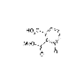 COC(=O)c1c(C(=O)O)ccc[n+]1[O-]